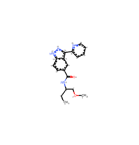 CCC(COC)NC(=O)c1ccc2[nH]nc(-c3ccccn3)c2c1